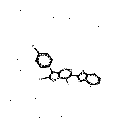 CCc1nn2c(O)c(-c3nc4ccccc4[nH]3)nnc2c1-c1ccc(F)cc1